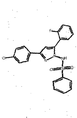 O=S(=O)(Nn1nc(-c2ccc(Cl)cc2)cc1-c1ccccc1F)c1ccccc1